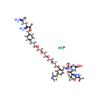 Cc1ncsc1-c1ccc(CNC(=O)[C@@H]2C[C@@H](O)CN2C(=O)[C@@H](NC(=O)C2(F)CC2)C(C)(C)C)c(OCCOCCOCCOCCOCCCc2ccc(CO[C@H](C)[C@@H](N)CCC(N)=O)cc2)c1.Cl